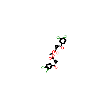 CC(OC(=O)[C@H]1C[C@@H]1C(=O)c1ccc(Cl)c(Cl)c1)OC(=O)[C@H]1C[C@@H]1C(=O)c1ccc(Cl)c(Cl)c1